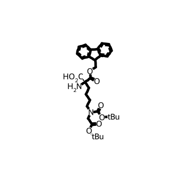 CC(C)(C)OC(=O)CN(CCCC[C@](N)(C(=O)O)C(=O)OCC1c2ccccc2-c2ccccc21)C(=O)OC(C)(C)C